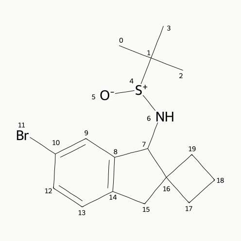 CC(C)(C)[S+]([O-])NC1c2cc(Br)ccc2CC12CCC2